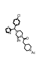 CC(=O)N1CCC(CC(=O)N2CCN(C(c3ccc(Cl)cc3)c3nccs3)C[C@@H]2C(C)C)CC1